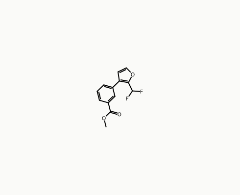 COC(=O)c1cccc(-c2ccoc2C(F)F)c1